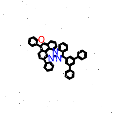 c1ccc(-c2cc(-c3ccccc3)cc(-c3nc(-n4c5ccccc5c5ccc6c7c8ccccc8oc7c7ccccc7c6c54)nc4ccccc34)c2)cc1